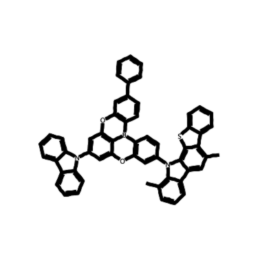 Cc1cc2c3cccc(C)c3n(-c3ccc4c(c3)Oc3cc(-n5c6ccccc6c6ccccc65)cc5c3B4c3ccc(-c4ccccc4)cc3O5)c2c2sc3ccccc3c12